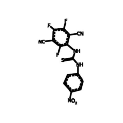 N#Cc1c(F)c(F)c(C#N)c(NC(=S)Nc2ccc([N+](=O)[O-])cc2)c1F